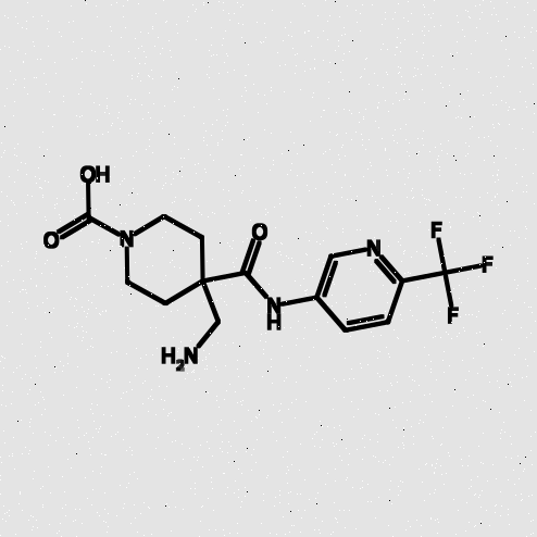 NCC1(C(=O)Nc2ccc(C(F)(F)F)nc2)CCN(C(=O)O)CC1